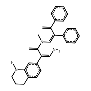 C=C(/C(=C\N(C)C(=C)/C(=C\N)c1ccc2c(c1)N(F)CCC2)c1ccccc1)c1ccccc1